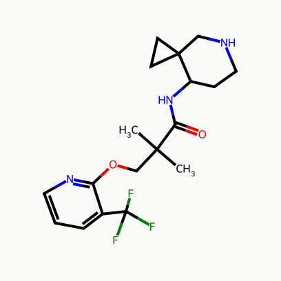 CC(C)(COc1ncccc1C(F)(F)F)C(=O)NC1CCNCC12CC2